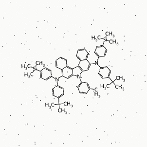 Cc1cccc(-n2c3cc(N(c4ccc(C(C)(C)C)cc4)c4ccc([Si](C)(C)C)cc4)c4ccccc4c3c3c4ccccc4c(N(c4ccc(C(C)(C)C)cc4)c4ccc([Si](C)(C)C)cc4)cc32)c1